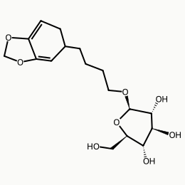 OC[C@H]1O[C@@H](OCCCCC2C=C3OCOC3=CC2)[C@H](O)[C@@H](O)[C@@H]1O